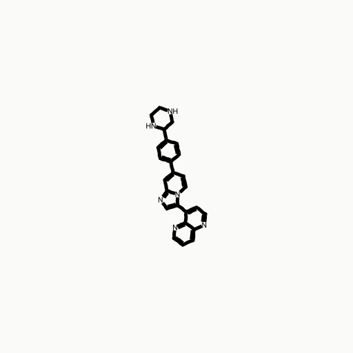 c1cnc2c(-c3cnc4cc(-c5ccc(C6CNCCN6)cc5)ccn34)ccnc2c1